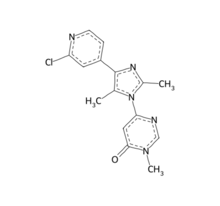 Cc1nc(-c2ccnc(Cl)c2)c(C)n1-c1cc(=O)n(C)cn1